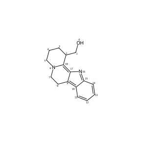 OCC1CCCN2CCC3=c4ccccc4=NC3=C12